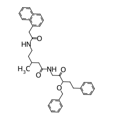 CC(CCNC(=O)Cc1cccc2ccccc12)CC(=O)NCC(=O)C(CCc1ccccc1)OCc1ccccc1